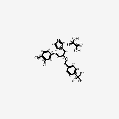 FC(F)(F)c1ccc(COC(CSc2ccc(Cl)c(Cl)c2)Cn2ccnc2)cc1.O=C(O)C(=O)O